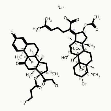 CC(=O)O[C@H]1C[C@@]2(C)[C@@H](C[C@@H](O)[C@H]3[C@@]4(C)CC[C@@H](O)[C@@H](C)[C@@H]4CC[C@@]32C)/C1=C(\CCC=C(C)C)C(=O)[O-].CCCC(=O)O[C@]1(C(=O)CCl)[C@@H](C)C[C@H]2[C@@H]3CCC4=CC(=O)C=C[C@]4(C)[C@@]3(F)C(=O)C[C@@]21C.[Na+]